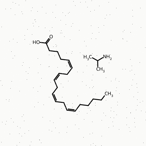 CC(C)N.CCCCC/C=C\C/C=C\C/C=C\C/C=C\CCCC(=O)O